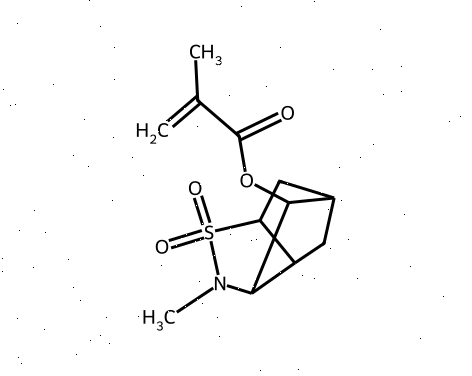 C=C(C)C(=O)OC1C2CC3C1N(C)S(=O)(=O)C3C2